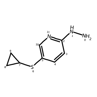 NNc1ccc(SC2CC2)cn1